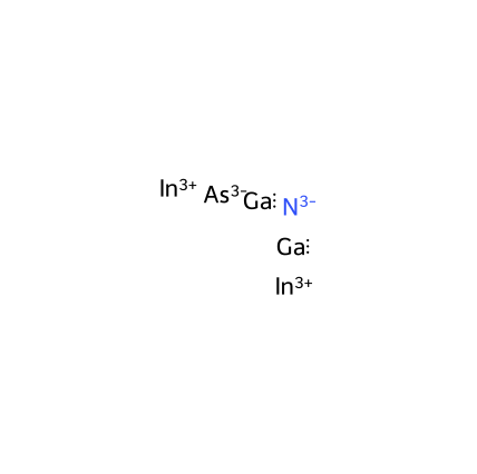 [As-3].[Ga].[Ga].[In+3].[In+3].[N-3]